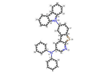 c1ccc(N(c2ccccc2)c2cnc3sc4ccc(-n5c6ccccc6c6ccccc65)cc4c3c2)cc1